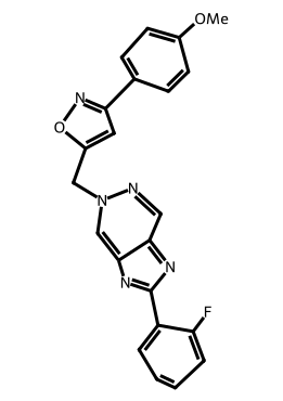 COc1ccc(-c2cc(Cn3cc4nc(-c5ccccc5F)nc-4cn3)on2)cc1